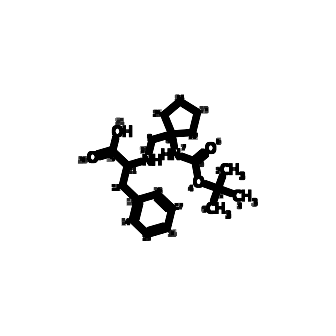 CC(C)(C)OC(=O)NC1(CNC(Cc2ccccc2)C(=O)O)CCCC1